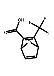 O=C(O)C1=C(C(F)(F)F)C2C=CC1O2